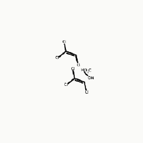 ClC=C(Cl)Cl.ClC=C(Cl)Cl.O=C(O)O